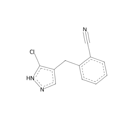 N#Cc1ccccc1Cc1cn[nH]c1Cl